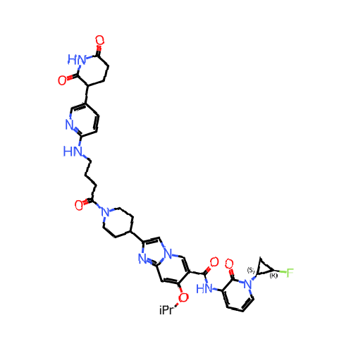 CC(C)Oc1cc2nc(C3CCN(C(=O)CCCNc4ccc(C5CCC(=O)NC5=O)cn4)CC3)cn2cc1C(=O)Nc1cccn([C@H]2C[C@H]2F)c1=O